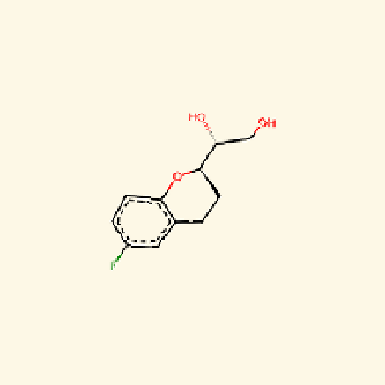 OC[C@@H](O)[C@H]1CCc2cc(F)ccc2O1